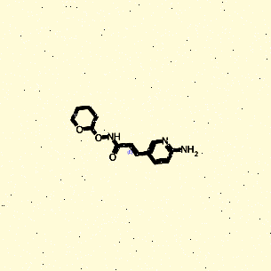 Nc1ccc(/C=C/C(=O)NOC2CCCCO2)cn1